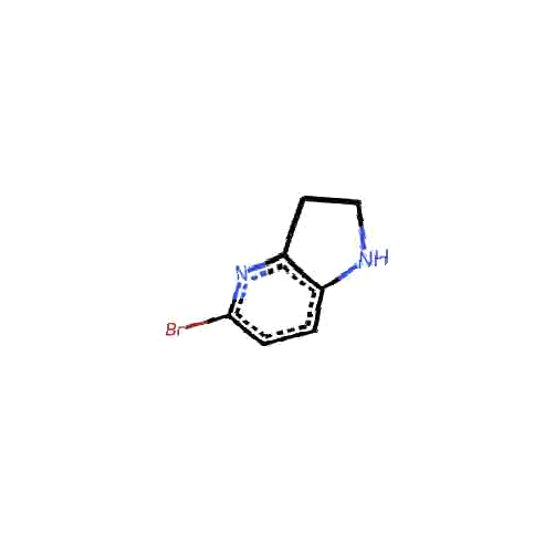 Brc1ccc2c(n1)CCN2